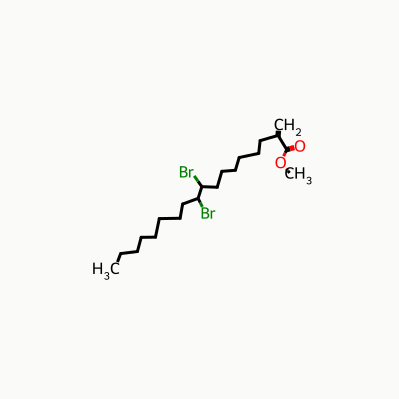 C=C(CCCCCCC(Br)C(Br)CCCCCCCC)C(=O)OC